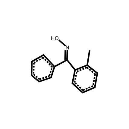 Cc1ccccc1C(=NO)c1ccccc1